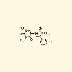 CN(C)C(CNc1nn(C)c(=O)n(C)c1=O)c1cccc(Cl)c1